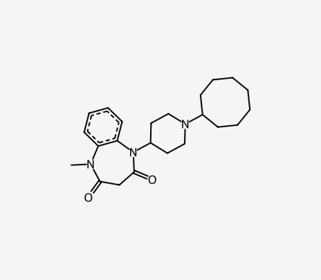 CN1C(=O)CC(=O)N(C2CCN(C3CCCCCCC3)CC2)c2ccccc21